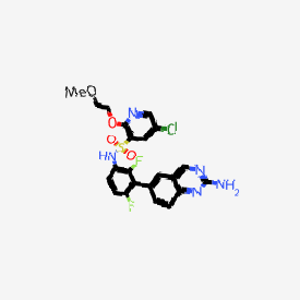 COCCOc1ncc(Cl)cc1S(=O)(=O)Nc1ccc(F)c(-c2ccc3nc(N)ncc3c2)c1F